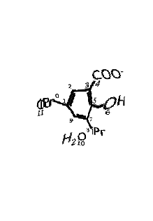 CC(C)c1cc(C(=O)[O-])c(O)c(C(C)C)c1.O.[Cu+]